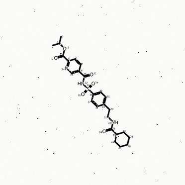 CC(C)OC(=O)c1ccc(C(=O)NS(=O)(=O)c2ccc(CCNC(=O)C3CCCCC3)cc2)cn1